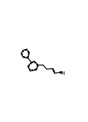 N#CC=CCCc1cccc(-c2ccccc2)c1